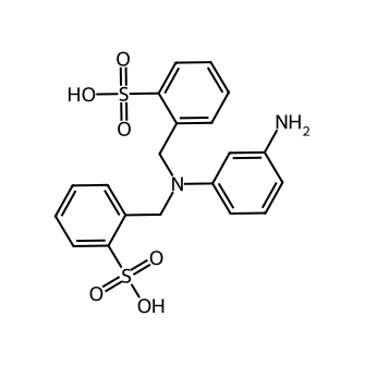 Nc1cccc(N(Cc2ccccc2S(=O)(=O)O)Cc2ccccc2S(=O)(=O)O)c1